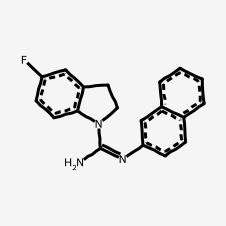 NC(=Nc1ccc2ccccc2c1)N1CCc2cc(F)ccc21